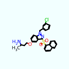 CC(N)CCOc1ccc2c(c1)c(S(=O)(=O)c1cccc3ccccc13)nn2Cc1cccc(Cl)c1